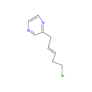 BrCCC=CCc1cnccn1